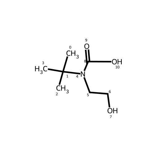 CC(C)(C)N(CCO)C(=O)O